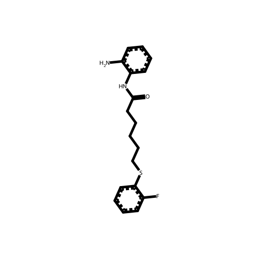 Nc1ccccc1NC(=O)CCCCCSc1ccccc1F